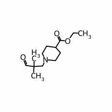 CCOC(=O)C1CCN(CC(C)(C)C=O)CC1